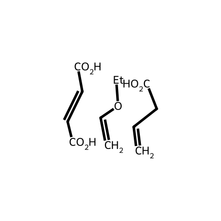 C=CCC(=O)O.C=COCC.O=C(O)C=CC(=O)O